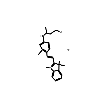 Cc1cc(NC(C)CCCl)ccc1C=CC1=[N+](C)c2ccccc2C1(C)C.[Cl-]